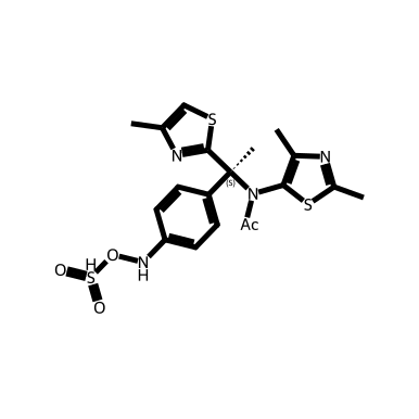 CC(=O)N(c1sc(C)nc1C)[C@@](C)(c1ccc(NO[SH](=O)=O)cc1)c1nc(C)cs1